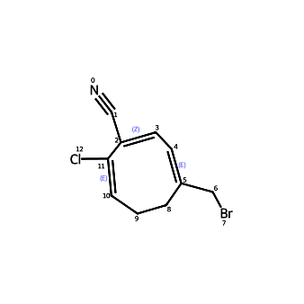 N#CC1=C/C=C(/CBr)CC/C=C\1Cl